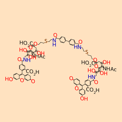 CC(=O)N[C@H]1[C@H]([C@H](O)[C@H](O)CNC(=O)c2ccc(C3=C4C=CC(O)=CC4OC4=CC(=O)CC=C43)c(C(=O)O)c2)O[C@@](OCCCSCCNC(=O)c2ccc(-c3ccc(C(=O)NCCSCCCO[C@]4(C(=O)O)C[C@H](O)[C@@H](NC(C)=O)[C@H]([C@H](O)[C@H](O)CNC(=O)c5ccc(-c6c7ccc(=O)cc-7oc7cc(O)ccc67)c(C(=O)O)c5)O4)cc3)cc2)(C(=O)O)C[C@@H]1O